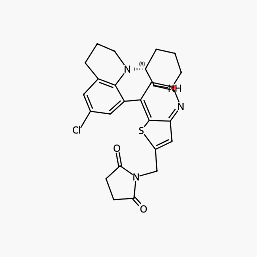 O=C1CCC(=O)N1Cc1cc2nccc(-c3cc(Cl)cc4c3N([C@@H]3CCCNC3)CCC4)c2s1